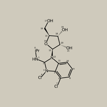 CC(C)NC1N(Cl)c2c(Cl)cccc2N1[C@H]1O[C@@H](CO)[C@H](O)[C@@H]1O